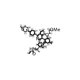 C=CC(=O)N[C@H](C)c1cc(-c2nc(-c3ccc(N4CCN(C)CC4)cc3)c3ccsc3c2-c2c(F)cc(F)cc2OCCOC)n[nH]1